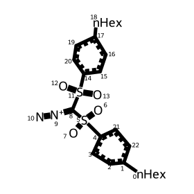 CCCCCCc1ccc(S(=O)(=O)C(=[N+]=[N-])S(=O)(=O)c2ccc(CCCCCC)cc2)cc1